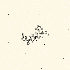 O=C(c1ccc(F)s1)N1CCN(c2ccc([N+](=O)[O-])c(N3CCCC3)c2)CC1